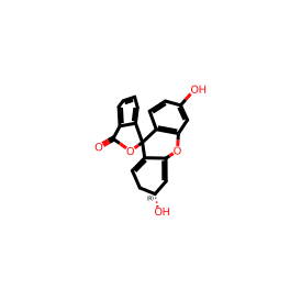 O=C1OC2(C3=CC[C@@H](O)C=C3Oc3cc(O)ccc32)c2ccccc21